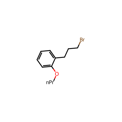 CCCOc1ccccc1CCCBr